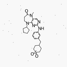 CN1C(=O)CCN(C2CCCC2)c2nc(Nc3cccc(CC4CCS(=O)(=O)CC4)c3)ncc21